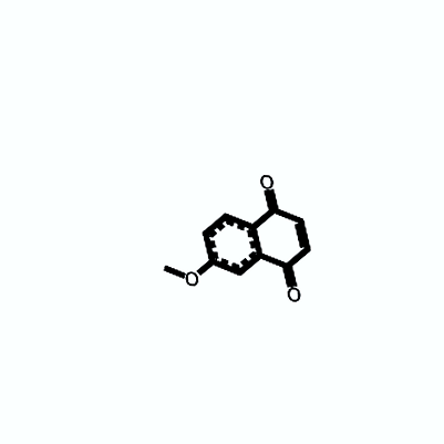 COc1ccc2c(c1)C(=O)C=CC2=O